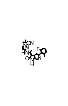 C/C(Nc1ccn(C(C)(C)C#N)n1)=C1/C(=O)Nc2cnc(-c3c(C)cccc3F)cc21